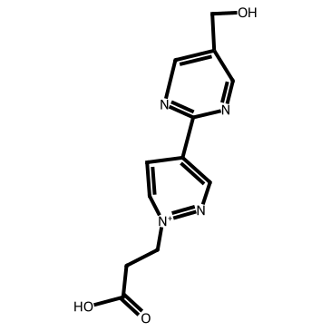 O=C(O)CC[n+]1ccc(-c2ncc(CO)cn2)cn1